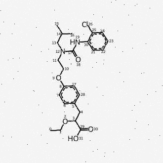 CCOC(Cc1ccc(OCCN(CC(C)C)C(=O)Nc2ccccc2Cl)cc1)C(=O)O